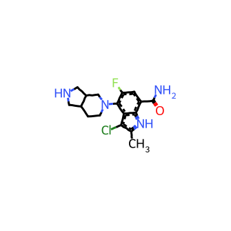 Cc1[nH]c2c(C(N)=O)cc(F)c(N3CCC4CNCC4C3)c2c1Cl